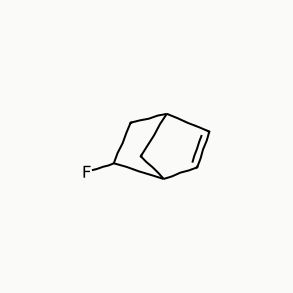 FC1CC2C=CC1C2